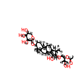 CC(=O)O[C@@H]([C@H]1C[C@@H](C)[C@H]2[C@H](O1)[C@H](O)[C@@]1(C)[C@@H]3CC[C@H]4C(C)(C)[C@@H](O[C@@H]5OCC(O)[C@H](O)[C@H]5O)CCC45C[C@@]35CC[C@]21C)C(C)(C)O